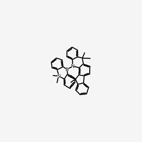 CC1(C)c2ccccc2N(B2c3ccccc3[Si](C)(C)c3ccccc32)c2c1ccc1c2C(C)(C)c2ccccc2-1